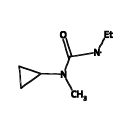 CC[N]C(=O)N(C)C1CC1